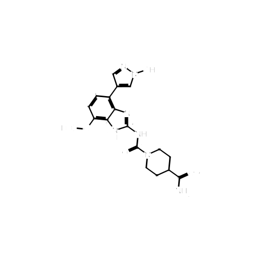 COc1ccc(-c2cnn(C)c2)c2nc(NC(=O)N3CCC(C(N)=O)CC3)[nH]c12